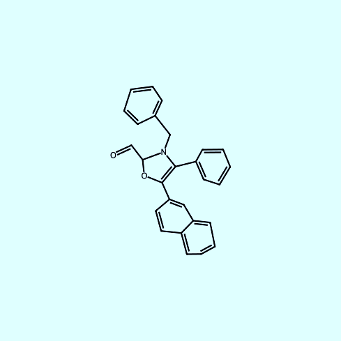 O=CC1OC(c2ccc3ccccc3c2)=C(c2ccccc2)N1Cc1ccccc1